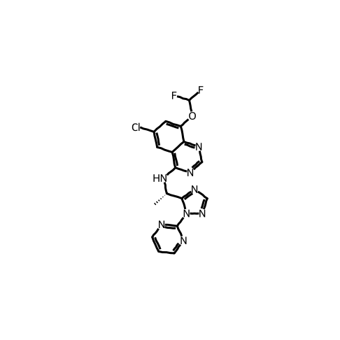 C[C@H](Nc1ncnc2c(OC(F)F)cc(Cl)cc12)c1ncnn1-c1ncccn1